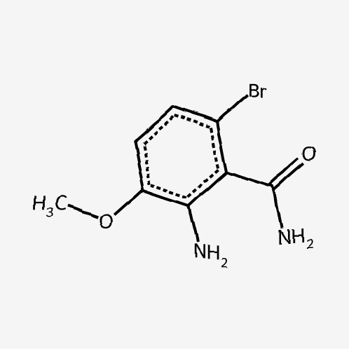 COc1ccc(Br)c(C(N)=O)c1N